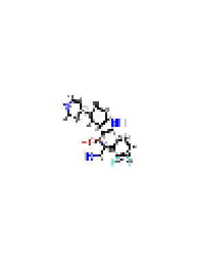 N=C/C(=C(\O)c1c[nH]c2ccc(-c3ccncc3)cc12)c1cccc(F)c1F